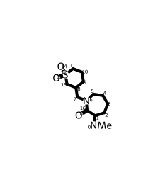 CNC1CCCCN(CC2CCCS(=O)(=O)C2)C1=O